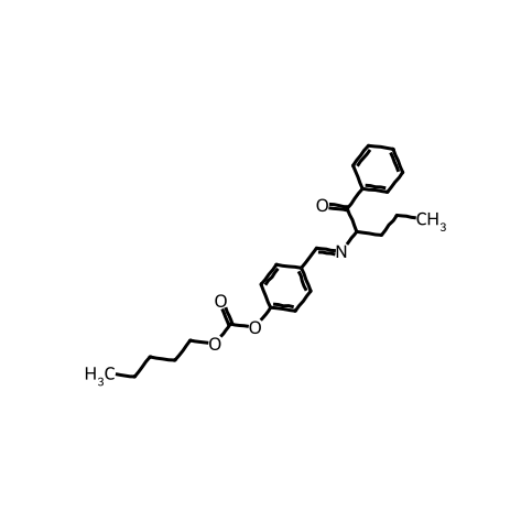 CCCCCOC(=O)Oc1ccc(C=NC(CCC)C(=O)c2ccccc2)cc1